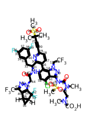 CN(CCN(C)C(=O)N(c1nn(CC(F)(F)F)c2c(-c3ccc(C#CC(C)(C)S(C)(=O)=O)nc3C(Cc3cc(F)cc(F)c3)NC(=O)Cn3nc(C(F)(F)F)c4c3C(F)(F)[C@@H]3C[C@H]43)ccc(Cl)c12)S(C)(=O)=O)C(=O)O